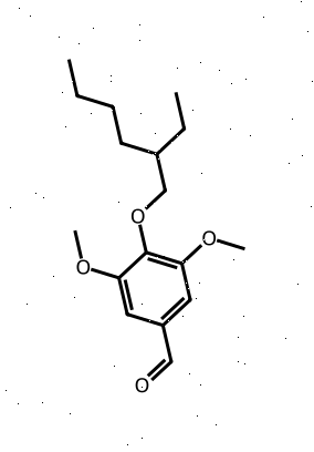 CCCCC(CC)COc1c(OC)cc(C=O)cc1OC